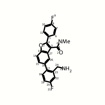 CNC(=O)c1c(-c2ccc(F)cc2)oc2ccc(-c3ccc(F)cc3CN)cc12